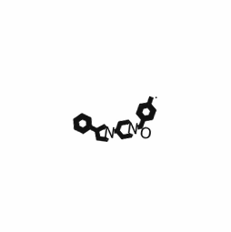 [CH2]c1ccc(C(=O)N2CCC(N3CCC(c4ccccc4)C3)CC2)cc1